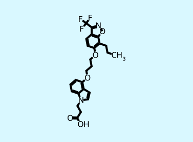 CCCc1c(OCCCOc2cccc3c2ccn3CCC(=O)O)ccc2c(C(F)(F)F)noc12